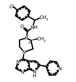 CC(NC(=O)N1CCN(c2ncnc3[nH]c(-c4ccncc4)cc23)C[C@@H]1C)c1ccc(Cl)cc1